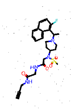 C#CCNC(=O)CNC(=O)CN(C1CCN(C(C)c2c(F)ccc3ccccc23)CC1)S(C)(=O)=O